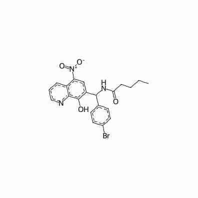 CCCCC(=O)NC(c1ccc(Br)cc1)c1cc([N+](=O)[O-])c2cccnc2c1O